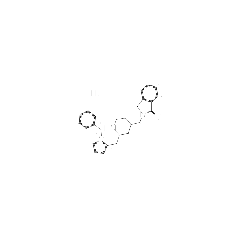 Cl.O=C1c2ccccc2CN1CC1CCNC(Cc2cccn2Cc2ccccc2)C1